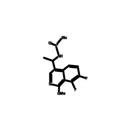 COc1ncc(C(C)N[S+]([O-])C(C)(C)C)c2ccc(F)c(F)c12